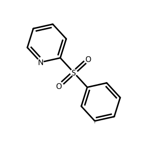 O=S(=O)(c1c[c]ccc1)c1ccccn1